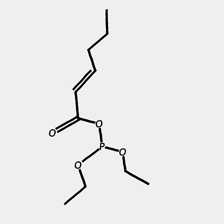 CCCC=CC(=O)OP(OCC)OCC